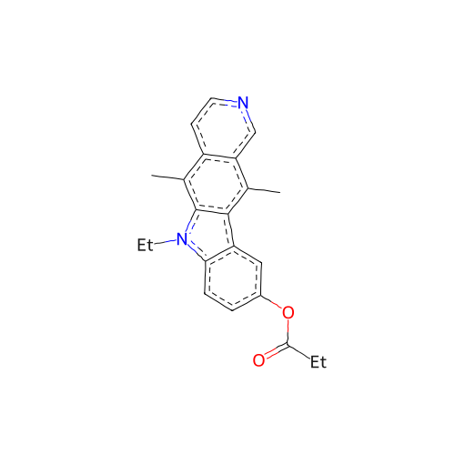 CCC(=O)Oc1ccc2c(c1)c1c(C)c3cnccc3c(C)c1n2CC